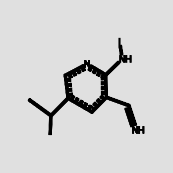 CC(C)c1cnc(NI)c(C=N)c1